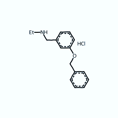 CCNCc1cccc(OCc2ccccc2)c1.Cl